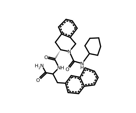 NC(=O)C(Cc1ccc2ccccc2c1)NC(=O)[C@@H]1Cc2ccccc2CN1C(=O)NC1CCCCC1